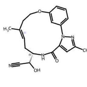 C/C1=C\C[C@@H](C(O)C#N)NC(=O)c2cc(C)nn2-c2cccc(c2)OCC1